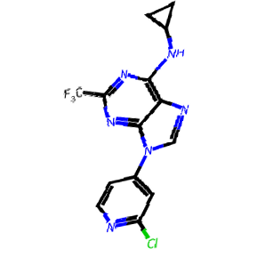 FC(F)(F)c1nc(NC2CC2)c2ncn(-c3ccnc(Cl)c3)c2n1